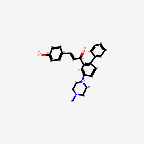 CN1CCN(c2ccc(-c3ccccc3)c(C(=O)C=Cc3ccc(O)cc3)c2)CC1